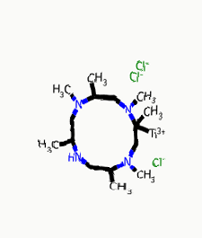 CC1CN(C)C(C)CN(C)[C](C)([Ti+3])CN(C)C(C)CN1.[Cl-].[Cl-].[Cl-]